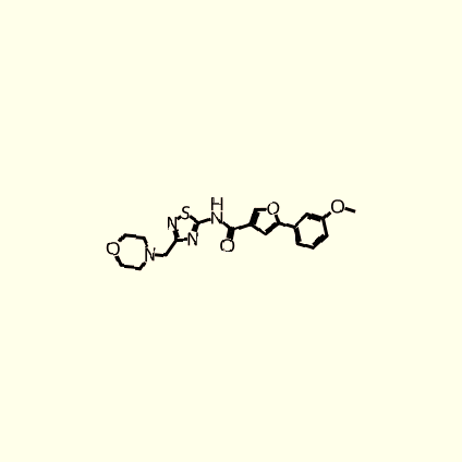 COc1cccc(-c2cc(C(=O)Nc3nc(CN4CCOCC4)ns3)co2)c1